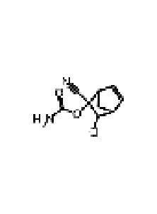 N#CC1(OC(N)=O)C2C=CC(C2)C1Cl